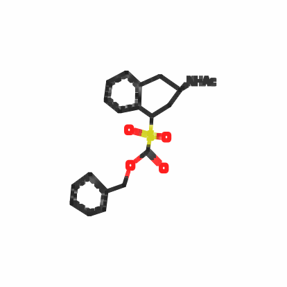 CC(=O)N[C@@H]1Cc2ccccc2C(S(=O)(=O)C(=O)OCc2ccccc2)C1